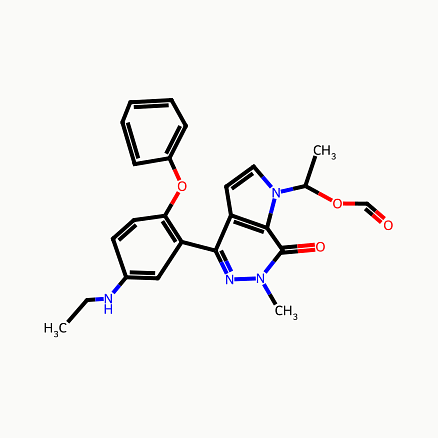 CCNc1ccc(Oc2ccccc2)c(-c2nn(C)c(=O)c3c2ccn3C(C)OC=O)c1